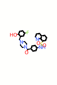 O=C(c1ccc(NS(=O)(=O)c2cccc3cccnc23)cc1)N1CCN(Cc2cc(F)ccc2O)CC1